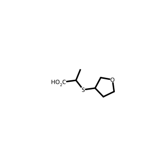 CC(SC1CCOC1)C(=O)O